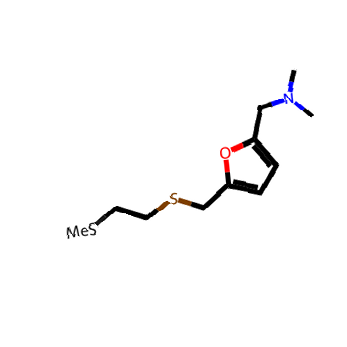 CSCCSCc1ccc(CN(C)C)o1